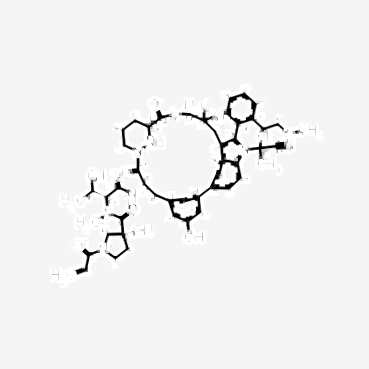 C=CC(=O)N1CC[C@](O)(C(=O)N(C)[C@H](C(=O)N[C@H]2Cc3cc(O)cc(c3)-c3ccc4c(c3)c(c(-c3ccccc3CCOC)n4C(C)(C)C#N)CC(C)(C)COC(=O)[C@@H]3CCCN(N3)C2=O)C(C)C)C1